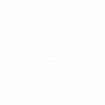 CCN(CC)C(=O)c1ccc(C2=CC3(CCCN(OCOC(C)(C)C)CC3)Oc3cccc(OCOC)c32)cn1